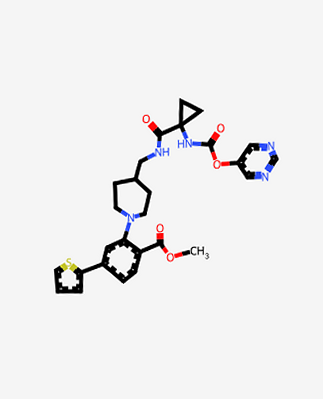 COC(=O)c1ccc(-c2cccs2)cc1N1CCC(CNC(=O)C2(NC(=O)Oc3cncnc3)CC2)CC1